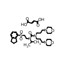 CC(C)N(CCS(=O)(=O)c1cccc2c1CCC2)C(=O)N(CCCN1CCOCC1)CCCN1CCOCC1.O=C(O)C=CC(=O)O